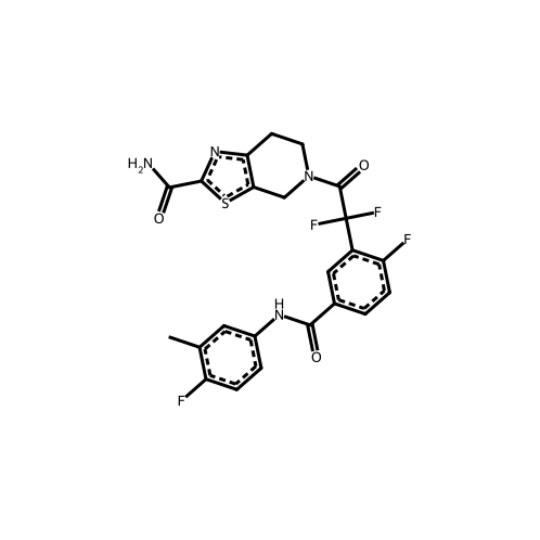 Cc1cc(NC(=O)c2ccc(F)c(C(F)(F)C(=O)N3CCc4nc(C(N)=O)sc4C3)c2)ccc1F